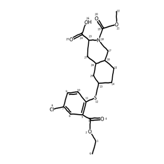 CCOC(=O)c1cc(Cl)ccc1SC1CCC2CN(C(=O)OC)C(C(=O)O)CC2C1